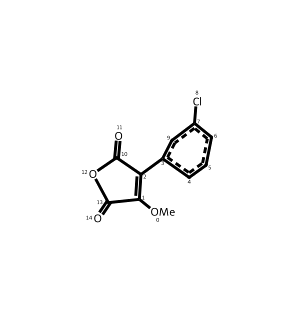 COC1=C(c2cccc(Cl)c2)C(=O)OC1=O